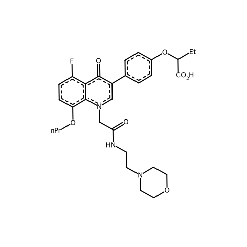 CCCOc1ccc(F)c2c(=O)c(-c3ccc(OC(CC)C(=O)O)cc3)cn(CC(=O)NCCN3CCOCC3)c12